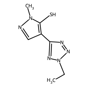 CCn1nnc(-c2cnn(C)c2S)n1